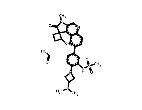 CC1CCC12C(=O)N(C)c1cnc3ccc(-c4cnc(N5CC(N(C)C)C5)c(NS(C)(=O)=O)c4)cc3c12.O=CO